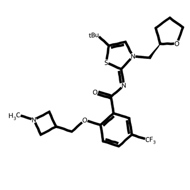 CN1CC(COc2ccc(C(F)(F)F)cc2C(=O)/N=c2\sc(C(C)(C)C)cn2C[C@H]2CCCO2)C1